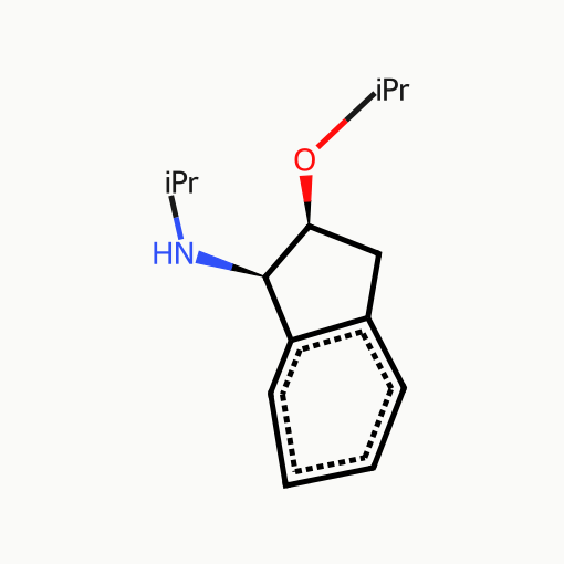 CC(C)N[C@@H]1c2ccccc2C[C@@H]1OC(C)C